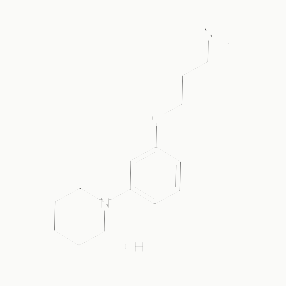 C[C@@H]1CCCCN1c1cccc(OCCCN)c1